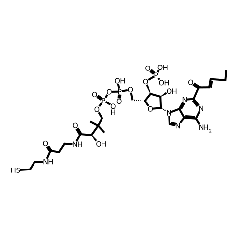 CCC=CC(=O)c1nc(N)c2ncn([C@@H]3O[C@H](COP(=O)(O)OP(=O)(O)OCC(C)(C)[C@@H](O)C(=O)NCCC(=O)NCCS)[C@@H](OP(=O)(O)O)[C@H]3O)c2n1